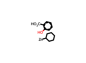 O=C(O)c1ccccc1O.[Zn][CH]1CCCCC1